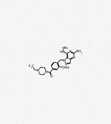 CCCCNc1nc(N)nc2cnn(Cc3ccc(C(=O)N4CCN(CC(F)(F)F)CC4)cc3OC)c12